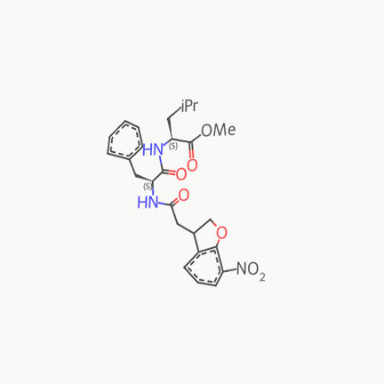 COC(=O)[C@H](CC(C)C)NC(=O)[C@H](Cc1ccccc1)NC(=O)CC1COc2c1cccc2[N+](=O)[O-]